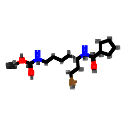 CC(C)(C)OC(=O)NCCCC[C@@H](CCBr)NC(=O)C1CCCC1